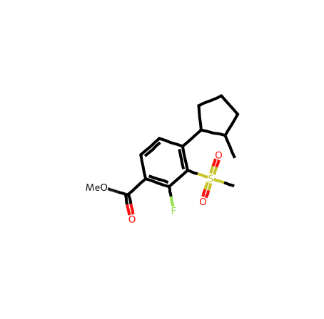 COC(=O)c1ccc(C2CCCC2C)c(S(C)(=O)=O)c1F